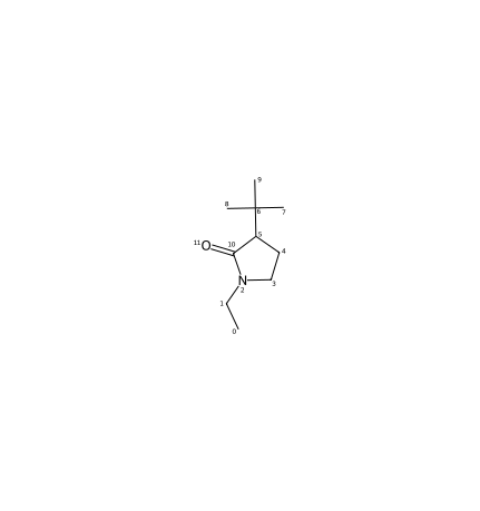 CCN1CCC(C(C)(C)C)C1=O